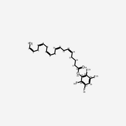 CC/C=C\C/C=C\C/C=C\C/C=C\C/C=C\CCCC(=O)Oc1c(F)c(F)cc(F)c1F